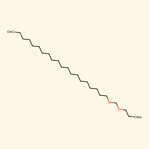 COCCOCOCCCCCCCCCCCCCCCCCCCC=O